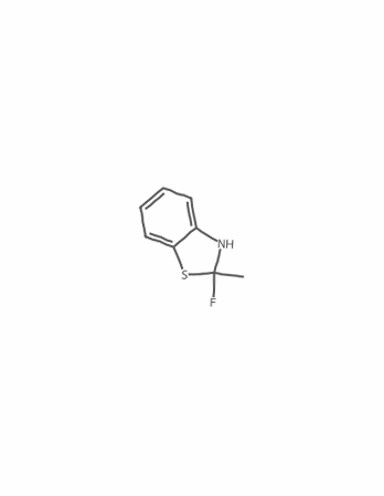 CC1(F)Nc2ccccc2S1